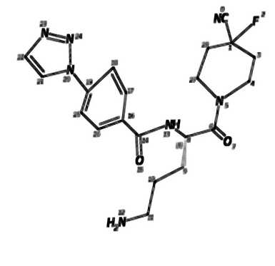 N#CC1(F)CCN(C(=O)[C@H](CCCN)NC(=O)c2ccc(-n3ccnn3)cc2)CC1